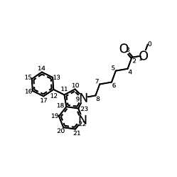 COC(=O)CCCCCn1cc(-c2ccccc2)c2cccnc21